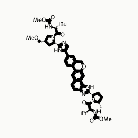 CC[C@@H](C)[C@H](NC(=O)OC)C(=O)N1C[C@@H](COC)C[C@H]1c1ncc(-c2ccc3c(c2)COc2cc4c(ccc5nc([C@@H]6CC[C@H](C)N6C(=O)[C@@H](NC(=O)OC)C(C)C)[nH]c54)cc2-3)[nH]1